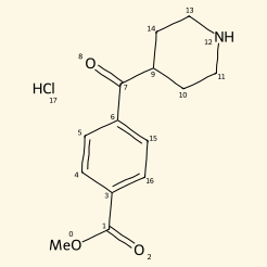 COC(=O)c1ccc(C(=O)C2CCNCC2)cc1.Cl